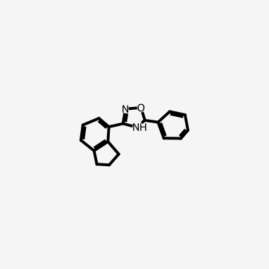 c1ccc(C2NC(c3cccc4c3CCC4)=NO2)cc1